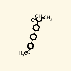 C=CCC(C(=O)O)C1CCC([C@H]2CC[C@H](c3ccc(OC)cc3)CC2)CC1